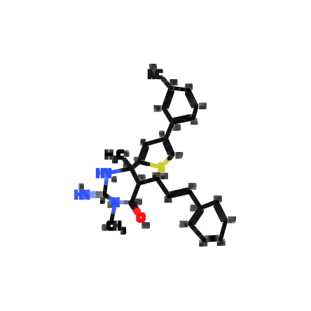 CN1C(=N)NC(C)(c2cc(-c3cccc(C#N)c3)cs2)C(C/C=C/c2ccccc2)C1=O